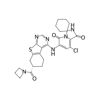 O=C1NC2(CCCCC2)n2c1c(Cl)cc(Nc1ncnc3sc4c(c13)CC[C@H](C(=O)N1CCC1)C4)c2=O